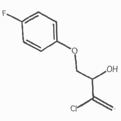 [CH]=C(Cl)C(O)COc1ccc(F)cc1